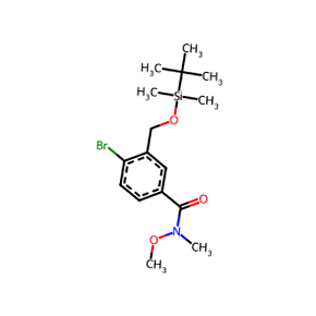 CON(C)C(=O)c1ccc(Br)c(CO[Si](C)(C)C(C)(C)C)c1